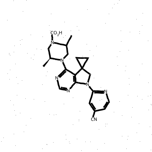 CC1CN(c2ncnc3c2C2(CC2)CN3c2cc(C#N)ccn2)[C@@H](C)CN1C(=O)O